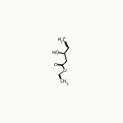 C=COC(=O)CC(O)C=C